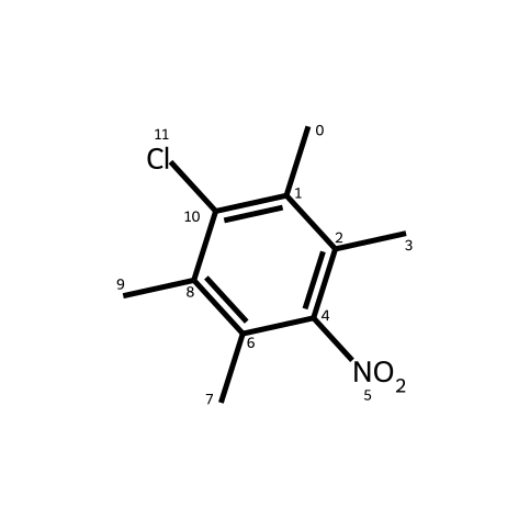 Cc1c(C)c([N+](=O)[O-])c(C)c(C)c1Cl